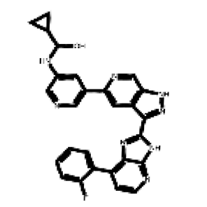 OC(Nc1cncc(-c2cc3c(-c4nc5c(-c6ccccc6F)ccnc5[nH]4)n[nH]c3cn2)c1)C1CC1